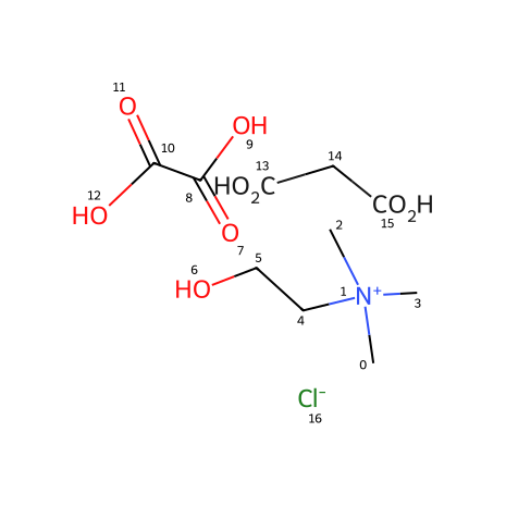 C[N+](C)(C)CCO.O=C(O)C(=O)O.O=C(O)CC(=O)O.[Cl-]